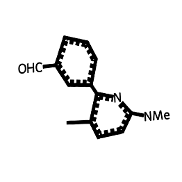 CNc1ccc(C)c(-c2cccc(C=O)c2)n1